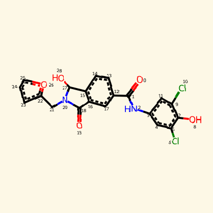 O=C(Nc1cc(Cl)c(O)c(Cl)c1)c1ccc2c(c1)C(=O)N(Cc1ccco1)C2O